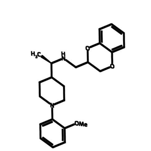 COc1ccccc1N1CCC([C@@H](C)NCC2COc3ccccc3O2)CC1